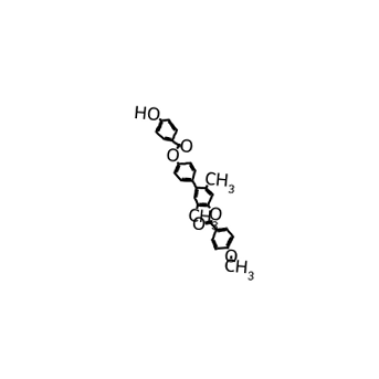 COc1ccc(C(=O)Oc2cc(C)c(-c3ccc(OC(=O)c4ccc(O)cc4)cc3)cc2C)cc1